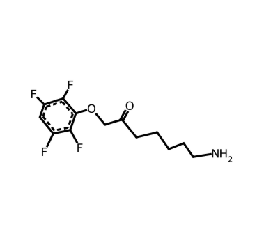 NCCCCCC(=O)COc1c(F)c(F)cc(F)c1F